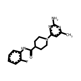 Cc1cc(N2CCC(C(=O)Nc3ccccc3F)CC2)nc(N)n1